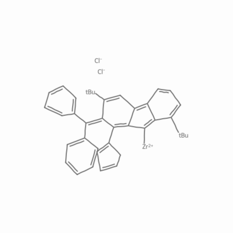 CC(C)(C)c1cc2c(c(C3=CC=CC3)c1=C(c1ccccc1)c1ccccc1)[C]([Zr+2])=c1c(C(C)(C)C)cccc1=2.[Cl-].[Cl-]